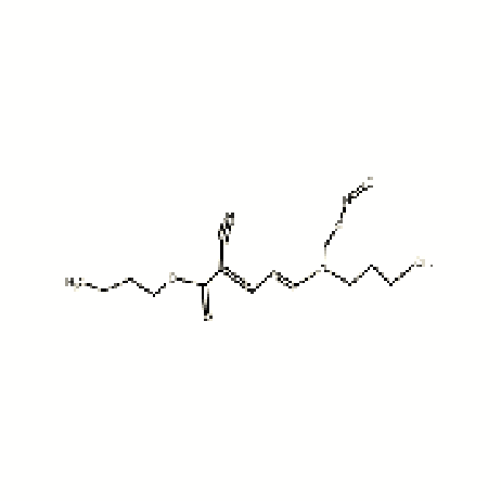 CCCCOC(=O)/C(C#N)=C/C=C/N(CCCC)CCN=O